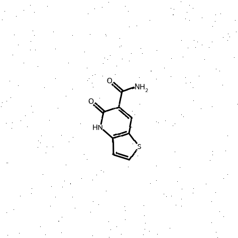 NC(=O)c1cc2sccc2[nH]c1=O